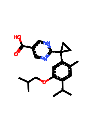 Cc1cc(C(C)C)c(OCC(C)C)cc1C1(c2ncc(C(=O)O)cn2)CC1